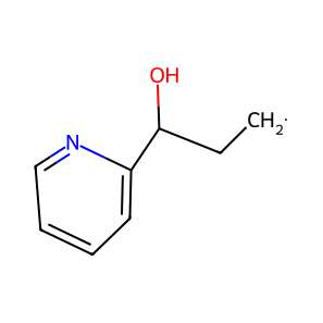 [CH2]CC(O)c1ccccn1